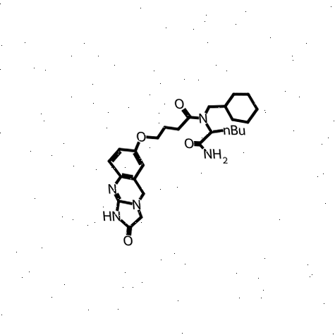 CCCCC(C(N)=O)N(CC1CCCCC1)C(=O)CCCOc1ccc2c(c1)CN1CC(=O)NC1=N2